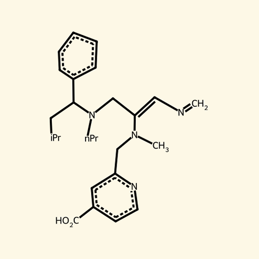 C=N/C=C(/CN(CCC)C(CC(C)C)c1ccccc1)N(C)Cc1cc(C(=O)O)ccn1